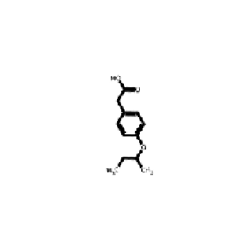 CCC(C)Oc1ccc(CC(=O)O)cc1